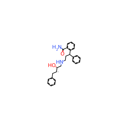 NC(=O)c1ccccc1C(CCNC[C@H](O)[CH]Cc1ccccc1)c1ccccc1